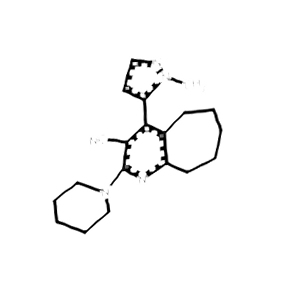 Cn1nccc1-c1c(C#N)c(N2CCCCC2)nc2c1CCCCC2